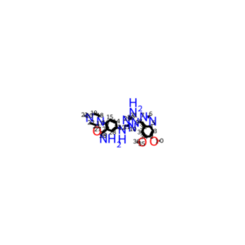 COc1cc2ncnc(-n3nc(Nc4ccc(N5CCN(C)CC5)c(C(N)=O)c4)nc3N)c2cc1OC